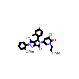 COCCn1cc(N2C(=O)c3nn(-c4ccccc4OC)c(C(C)C)c3C2c2ccc(Cl)cc2C)cc(Cl)c1=O